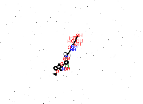 CCN(CCCCNC(=O)NC[C@H](O)[C@@H](O)[C@H](O)[C@H](O)CO)S(=O)(=O)c1ccc(Cl)c(COC2(c3c[n+](O)ccc3-c3ccccc3OC3CC3)CC2)c1